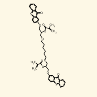 C=C(C)C(=O)OC(COCCCCCCOCC(COc1ccc2sc3ccccc3c(=O)c2c1)OC(=O)C(=C)C)COc1ccc2sc3ccccc3c(=O)c2c1